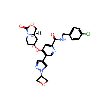 O=C(NCc1ccc(Cl)cc1)c1cc(O[C@H]2CCN3C(=O)OC[C@@H]3C2)c(-c2cnn(C3COC3)c2)cn1